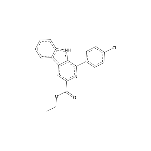 CCOC(=O)c1cc2c([nH]c3ccccc32)c(-c2ccc(Cl)cc2)n1